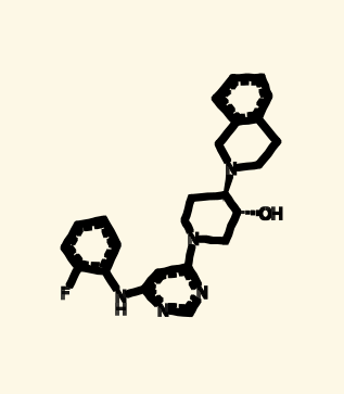 O[C@@H]1CN(c2cc(Nc3ccccc3F)ncn2)CC[C@H]1N1CCc2ccccc2C1